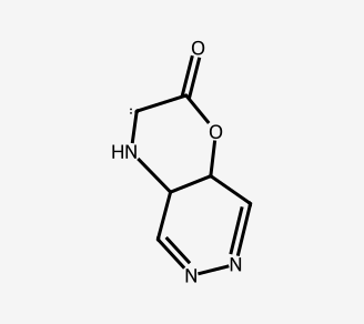 O=C1[C]NC2C=NN=CC2O1